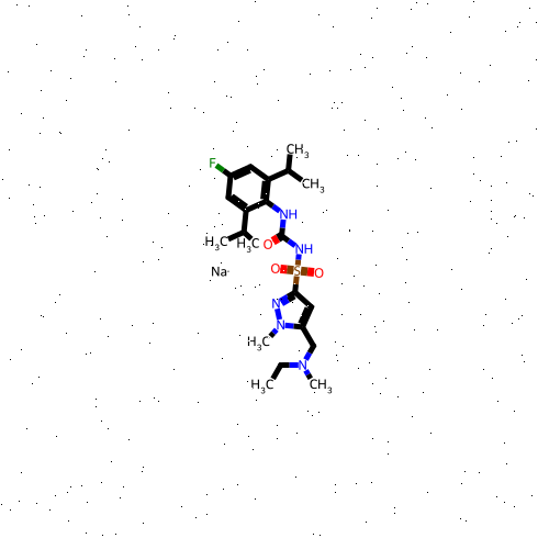 CCN(C)Cc1cc(S(=O)(=O)NC(=O)Nc2c(C(C)C)cc(F)cc2C(C)C)nn1C.[Na]